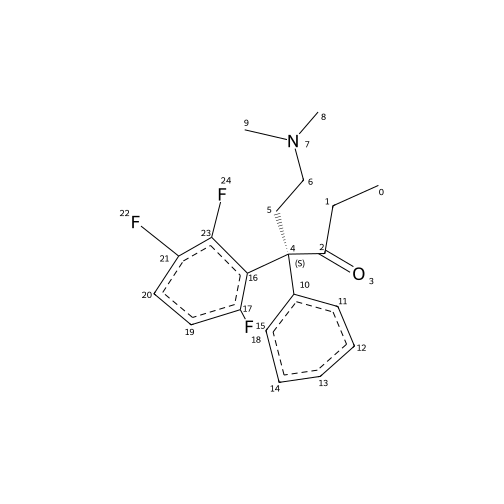 CCC(=O)[C@@](CCN(C)C)(c1ccccc1)c1c(F)ccc(F)c1F